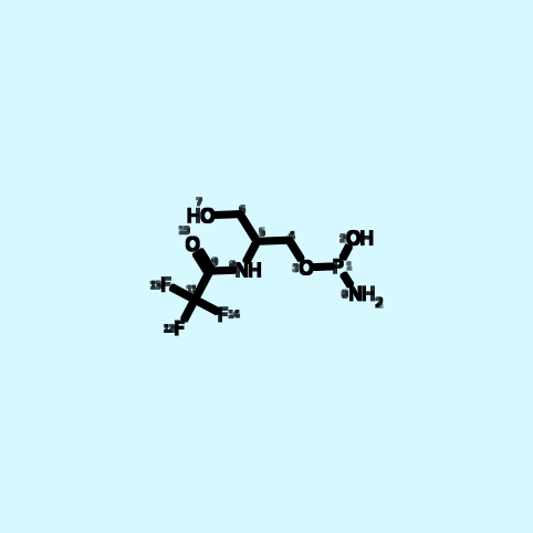 NP(O)OCC(CO)NC(=O)C(F)(F)F